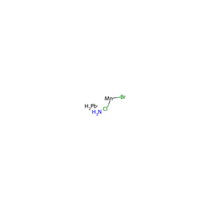 N.[Cl][Mn][Br].[PbH2]